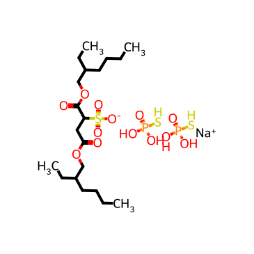 CCCCC(CC)COC(=O)CC(C(=O)OCC(CC)CCCC)S(=O)(=O)[O-].O=P(O)(O)S.O=P(O)(O)S.[Na+]